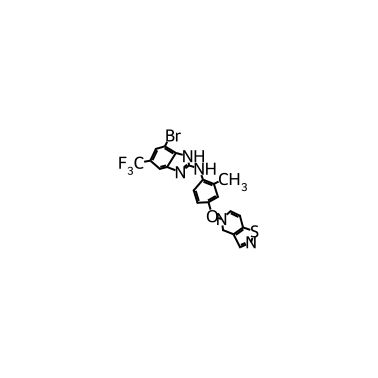 Cc1cc(ON2C=Cc3sncc3C2)ccc1Nc1nc2cc(C(F)(F)F)cc(Br)c2[nH]1